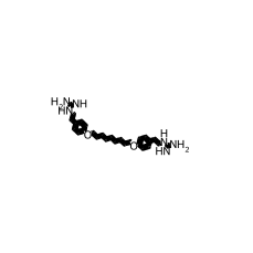 N=C(N)NCCc1ccc(OCCCCCCCCCOc2ccc(CCNC(=N)N)cc2)cc1